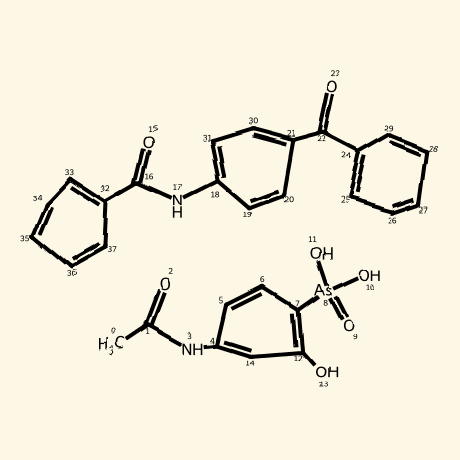 CC(=O)Nc1ccc([As](=O)(O)O)c(O)c1.O=C(Nc1ccc(C(=O)c2ccccc2)cc1)c1ccccc1